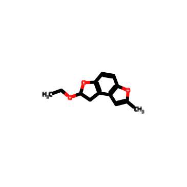 CCOC1Cc2c(ccc3oc(C)cc23)O1